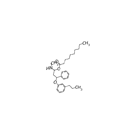 CCCCCCCCCC(=O)OC(CC(Oc1cccc(CCC)c1)c1ccccc1)NC